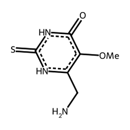 COc1c(CN)[nH]c(=S)[nH]c1=O